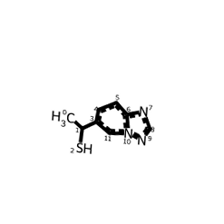 CC(S)c1ccc2ncnn2c1